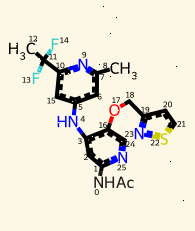 CC(=O)Nc1cc(Nc2cc(C)nc(C(C)(F)F)c2)c(OCc2ccsn2)cn1